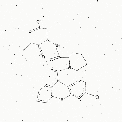 O=C(O)CC(NC(=O)C1CCCCN1C(=O)N1c2ccccc2Sc2cc(Cl)ccc21)C(=O)CF